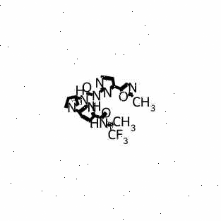 Cc1ncc(-c2ccnc(NC(=O)N3c4nc(C(=O)N[C@H](C)C(F)(F)F)ccc4N4CC[C@H]3C4)n2)o1